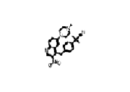 CN1CCN(c2ccc3ncc([N+](=O)[O-])c(Cc4ccc(C(C)(C)C#N)cc4)c3c2)CC1